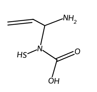 C=CC(N)N(S)C(=O)O